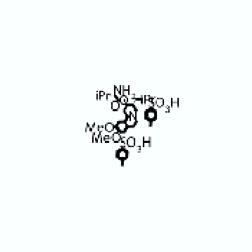 COC1=C(OC)CC2=C3C[C@@H](OC(=O)[C@@H](N)C(C)C)[C@H](CC(C)C)CN3CCC2=C1.Cc1ccc(S(=O)(=O)O)cc1.Cc1ccc(S(=O)(=O)O)cc1